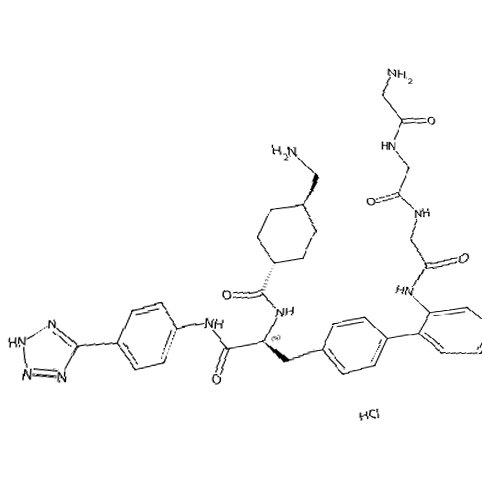 Cl.NCC(=O)NCC(=O)NCC(=O)Nc1ccccc1-c1ccc(C[C@H](NC(=O)[C@H]2CC[C@H](CN)CC2)C(=O)Nc2ccc(-c3nn[nH]n3)cc2)cc1